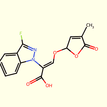 CC1=CC(O/C=C(/C(=O)O)n2nc(F)c3ccccc32)OC1=O